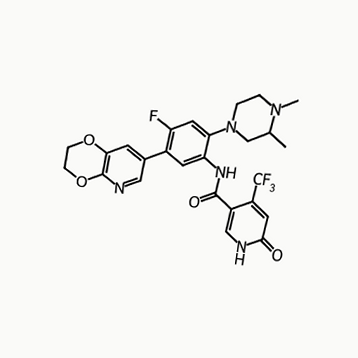 CC1CN(c2cc(F)c(-c3cnc4c(c3)OCCO4)cc2NC(=O)c2c[nH]c(=O)cc2C(F)(F)F)CCN1C